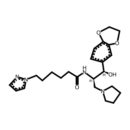 O=C(CCCCCn1cccn1)N[C@H](CN1CCCC1)[C@H](O)c1ccc2c(c1)OCCO2